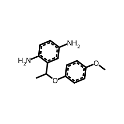 COc1ccc(OC(C)c2cc(N)ccc2N)cc1